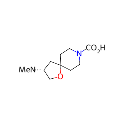 CN[C@H]1COC2(CCN(C(=O)O)CC2)C1